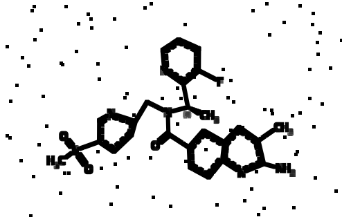 Cc1cc2cc(C(=O)N(Cc3ccc(S(C)(=O)=O)cn3)[C@H](C)c3ncccc3F)ccc2nc1N